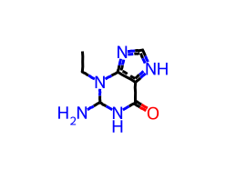 CCN1c2nc[nH]c2C(=O)NC1N